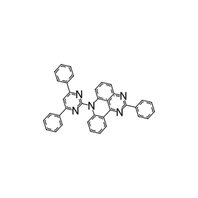 c1ccc(-c2cc(-c3ccccc3)nc(N3c4ccccc4-c4nc(-c5ccccc5)nc5cccc3c45)n2)cc1